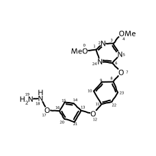 COc1nc(OC)nc(Oc2ccc(Oc3ccc(ONN)cc3)cc2)n1